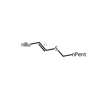 CCCC/C=C/SCCCCCC